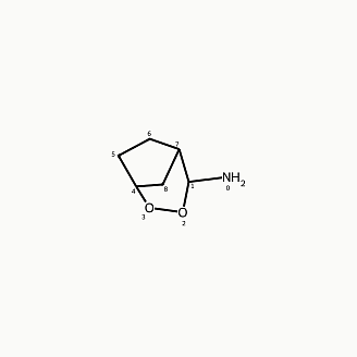 NC1OOC2CCC1C2